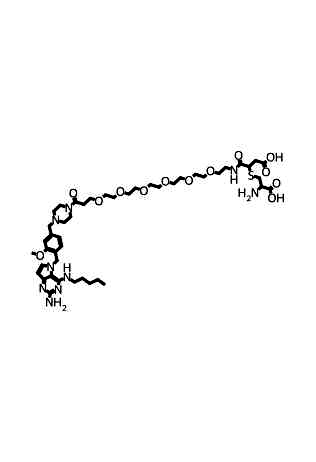 CCCCCNc1nc(N)nc2ccn(Cc3ccc(CN4CCN(C(=O)CCOCCOCCOCCOCCOCCOCCNC(=O)C(CC(=O)O)SCC(N)C(=O)O)CC4)cc3OC)c12